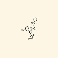 CN(CCOC(=O)N1CCCCC1)C(=O)N1CC(c2cc(F)ccc2F)=CC1c1cccc(O)c1